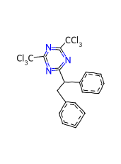 ClC(Cl)(Cl)c1nc(C(Cc2ccccc2)c2ccccc2)nc(C(Cl)(Cl)Cl)n1